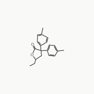 CCC1CC(c2ccc(C)cc2)(c2ccc(C)cc2)C(=O)O1